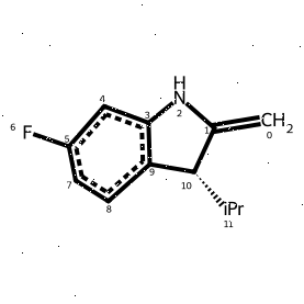 C=C1Nc2cc(F)ccc2[C@H]1C(C)C